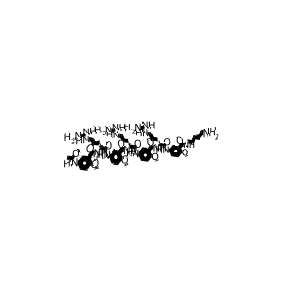 COc1ccc(NC(=O)[C@@H](CCCNC(=N)N)NC(=O)c2cc(NC(=O)[C@@H](CCCNC(=N)N)NC(=O)c3cc(NC(=O)[C@@H](CCCNC(=N)N)NC(=O)c4cc(NC(C)=O)ccc4OC)ccc3OC)ccc2OC)cc1C(=O)NCCCCCN